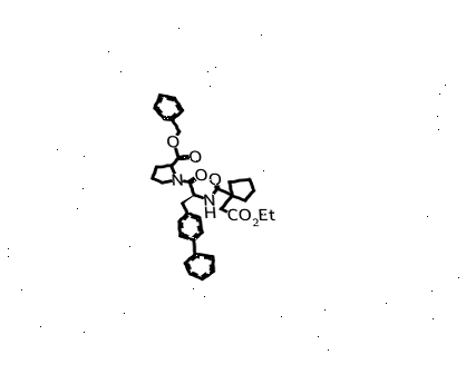 CCOC(=O)CC1(C(=O)N[C@@H](Cc2ccc(-c3ccccc3)cc2)C(=O)N2CCCC2C(=O)OCc2ccccc2)CCCC1